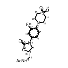 CC(=O)NC[C@H]1CN(c2ccc(N3CCS(=O)(=O)CC3)c(F)c2)C(=O)O1